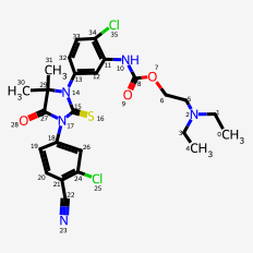 CCN(CC)CCOC(=O)Nc1cc(N2C(=S)N(c3ccc(C#N)c(Cl)c3)C(=O)C2(C)C)ccc1Cl